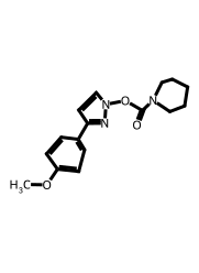 COc1ccc(-c2ccn(OC(=O)N3CCCCC3)n2)cc1